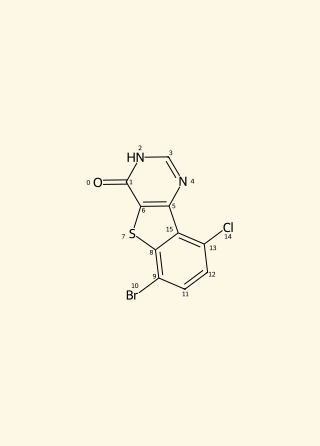 O=c1[nH]cnc2c1sc1c(Br)ccc(Cl)c12